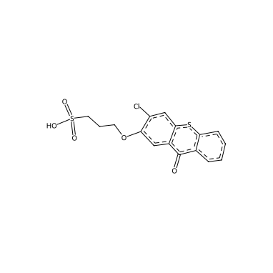 O=c1c2ccccc2sc2cc(Cl)c(OCCCS(=O)(=O)O)cc12